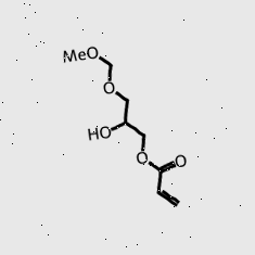 C=CC(=O)OCC(O)COCOC